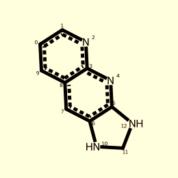 c1cnc2nc3c(cc2c1)NCN3